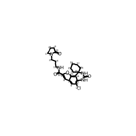 O=C1Nc2c(Cl)cc3cc(C(=O)NCCCN4CCCC4=O)oc3c2C2(CCCCC2)N1